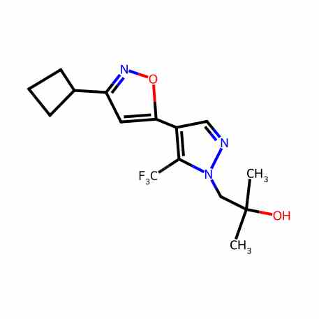 CC(C)(O)Cn1ncc(-c2cc(C3CCC3)no2)c1C(F)(F)F